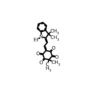 CCN1C(=CC=C2C(=O)C(=O)C(C)(C)C(=O)C2=O)C(C)(C)c2ccccc21